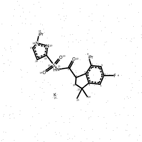 CC(C)c1cc(F)cc2c1C(C(=O)NS(=O)(=O)c1ccn(C(C)C)n1)CC2(C)C.[K]